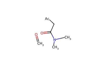 C=O.CC(=O)CC(=O)N(C)C